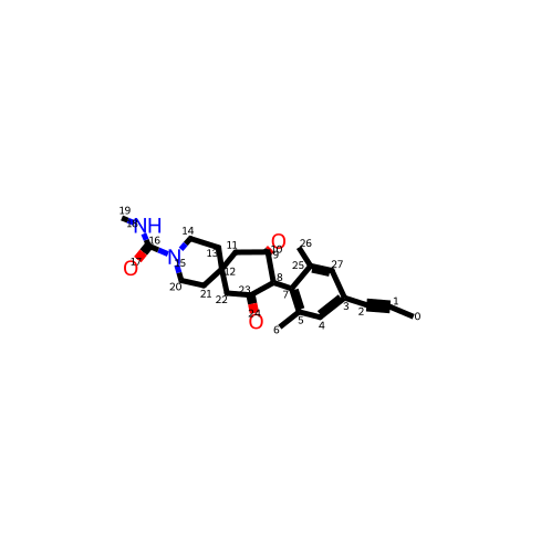 CC#Cc1cc(C)c(C2C(=O)CC3(CCN(C(=O)NC)CC3)CC2=O)c(C)c1